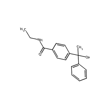 CCNC(=O)c1ccc(C(C)(O)c2ccccc2)cc1